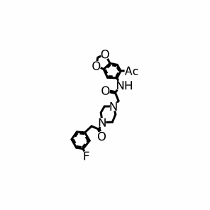 CC(=O)c1cc2c(cc1NC(=O)CN1CCN(C(=O)Cc3cccc(F)c3)CC1)OCO2